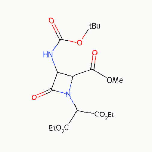 CCOC(=O)C(C(=O)OCC)N1C(=O)C(NC(=O)OC(C)(C)C)C1C(=O)OC